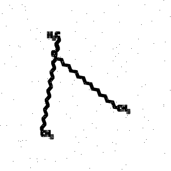 CCC=COC(CCCCCCCCCCCCCCCC)CCCCCCCCCCCCCCCCC